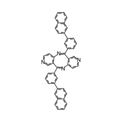 c1cc(/C2=N/c3ccncc3/C(c3cccc(-c4ccc5ccccc5c4)c3)=N\c3ccncc32)cc(-c2ccc3ccccc3c2)c1